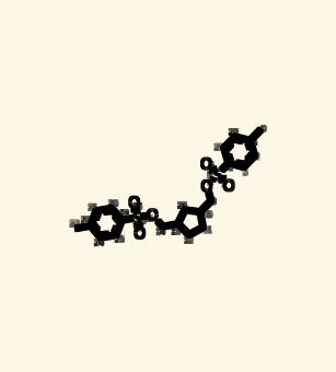 Cc1ccc(S(=O)(=O)OCC2CCC(COS(=O)(=O)c3ccc(C)cc3)C2)cc1